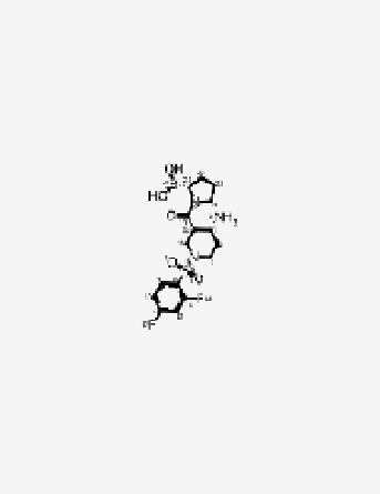 N[C@@H]1CCN(S(=O)(=O)c2ccc(F)cc2F)C[C@H]1C(=O)N1CCC[C@H]1B(O)O